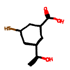 C=C(O)C1CC(S)CC(C(=O)O)C1